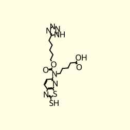 O=C(O)CCCCN(C(=O)OCCCCCc1nnn[nH]1)c1ccc2nc(S)sc2n1